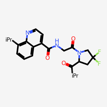 CC(C)C(=O)C1CC(F)(F)CN1C(=O)CNC(=O)c1ccnc2c(C(C)C)cccc12